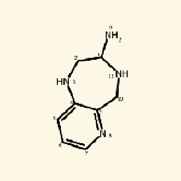 NC1CNc2cccnc2CN1